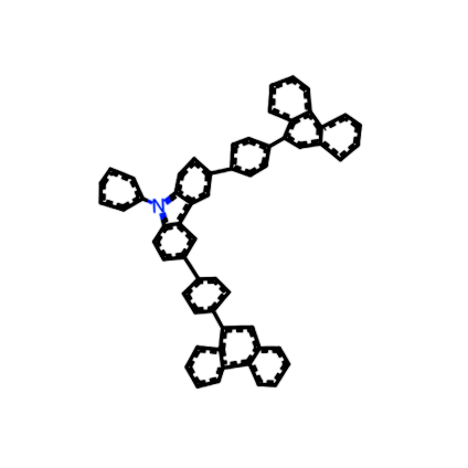 c1ccc(-n2c3ccc(-c4ccc(-c5cc6ccccc6c6ccccc56)cc4)cc3c3cc(-c4ccc(-c5cc6ccccc6c6ccccc56)cc4)ccc32)cc1